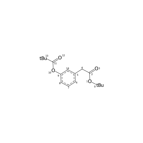 CC(C)(C)OC(=O)Cc1cccc(OC(=O)C(C)(C)C)c1